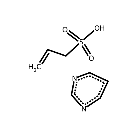 C=CCS(=O)(=O)O.c1cncnc1